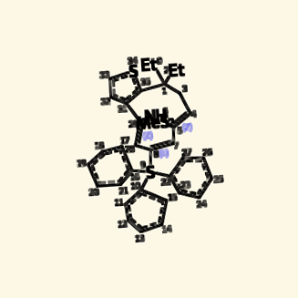 CCC1(CC)C/C=C(SC)/C=C(S(c2ccccc2)(c2ccccc2)c2ccccc2)\C=C(/N)c2ccsc21